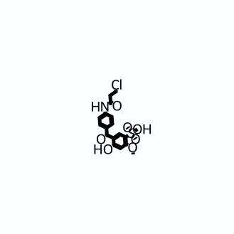 COc1cc(O)c(C(=O)c2ccc(NC(=O)CCCl)cc2)cc1S(=O)(=O)O